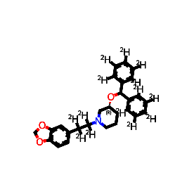 [2H]c1c([2H])c([2H])c(C(O[C@@H]2CCCN(C([2H])([2H])C([2H])([2H])c3ccc4c(c3)OCO4)C2)c2c([2H])c([2H])c([2H])c([2H])c2[2H])c([2H])c1[2H]